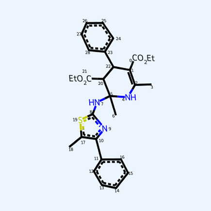 CCOC(=O)C1=C(C)NC(C)(Nc2nc(-c3ccccc3)c(C)s2)C(C(=O)OCC)C1c1ccccc1